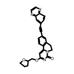 O=c1nc(OCC2CCCO2)cc2n1CCc1cc(C#Cc3ccc4nccnc4c3)ccc1-2